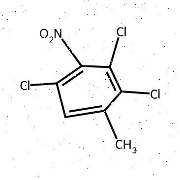 Cc1cc(Cl)c([N+](=O)[O-])c(Cl)c1Cl